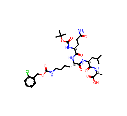 CC(C)C[C@H](NC(=O)[C@H](CCCCNC(=O)OCc1ccccc1Cl)NC(=O)[C@H](CCC(N)=O)NC(=O)OC(C)(C)C)C(=O)N[C@@H](C)C(=O)O